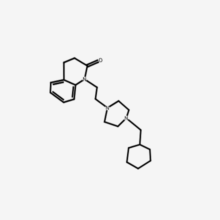 O=C1CCc2ccccc2N1CCN1CCN(CC2CCCCC2)CC1